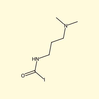 CN(C)CCCNC(=O)I